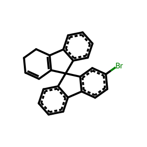 Brc1ccc2c(c1)C1(C3=C(CCC=C3)c3ccccc31)c1ccccc1-2